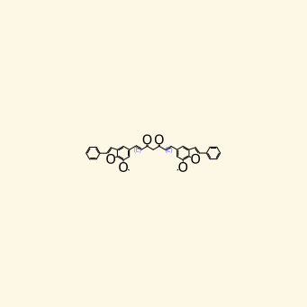 COc1cc(/C=C/C(=O)CC(=O)/C=C/c2cc(OC)c3oc(-c4ccccc4)cc3c2)cc2cc(-c3ccccc3)oc12